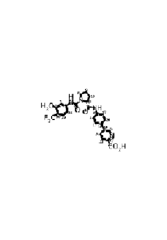 Cc1cc(NC(=O)N2CCC[C@@H]2C(=O)Nc2ccc(-c3ccc(C(=O)O)nc3)cc2)ccc1C(F)(F)F